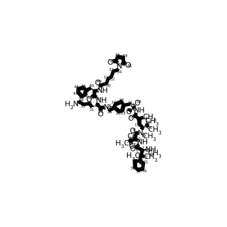 CN[C@H](C(=O)NC(C(=O)N(C)[C@H](/C=C(\C)C(=O)NS(=O)(=O)Cc1ccc(CNC(=O)[C@H](CCCCN)NC(=O)[C@H](Cc2ccccc2)NC(=O)CCCCCN2C(=O)C=CC2=O)cc1)C(C)C)C(C)(C)C)C(C)(C)c1ccccc1